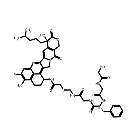 Cc1c(F)cc2nc3c(c4c2c1CCC4NC(=O)COCNC(=O)CNC(=O)[C@@H](Cc1ccccc1)NC(=O)CNC(=O)CN)Cn1c-3cc2c(c1=O)COC(=O)[C@@]2(O)CCCC(C)C